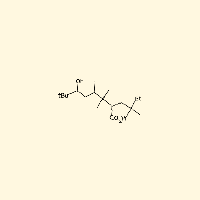 CCC(C)(C)CC(C(=O)O)C(C)(C)C(C)CC(O)C(C)(C)C